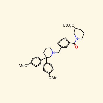 CCOC(=O)C1CCCN(C(=O)c2cccc(CN3CCCC(c4ccc(OC)cc4)(c4ccc(OC)cc4)C3)c2)C1